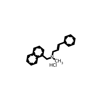 CN(CC=Cc1ccccc1)Cc1cccc2ccccc12.Cl